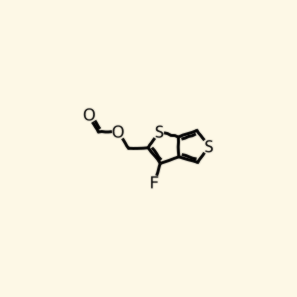 O=COCc1sc2cscc2c1F